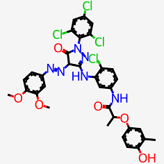 COc1ccc(/N=N/C2C(=O)N(c3c(Cl)cc(Cl)cc3Cl)N=C2Nc2cc(NC(=O)C(C)Oc3ccc(O)c(C)c3)ccc2Cl)cc1OC